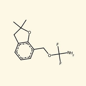 CC1(C)Cc2cccc(COC(N)(F)F)c2O1